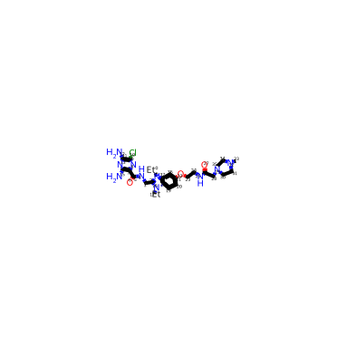 CCn1c(CNC(=O)c2nc(Cl)c(N)nc2N)[n+](CC)c2ccc(OCCNC(=O)CN3CCN(C)CC3)cc21